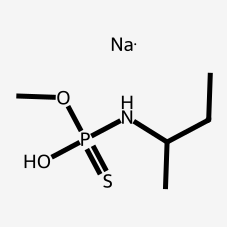 CCC(C)NP(O)(=S)OC.[Na]